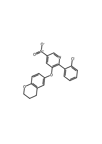 O=[N+]([O-])c1cnc(-c2ccccc2Cl)c(Oc2ccc3c(c2)CCCO3)c1